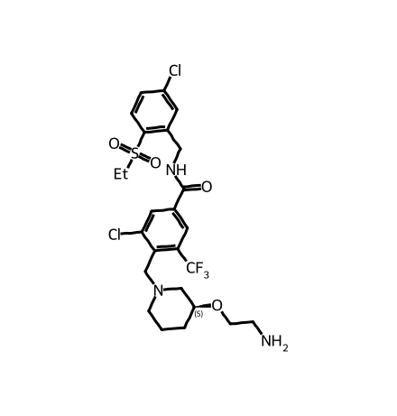 CCS(=O)(=O)c1ccc(Cl)cc1CNC(=O)c1cc(Cl)c(CN2CCC[C@H](OCCN)C2)c(C(F)(F)F)c1